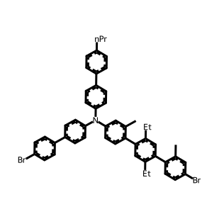 CCCc1ccc(-c2ccc(N(c3ccc(-c4ccc(Br)cc4)cc3)c3ccc(-c4cc(CC)c(-c5ccc(Br)cc5C)cc4CC)c(C)c3)cc2)cc1